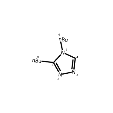 CCCCc1nncn1CCCC